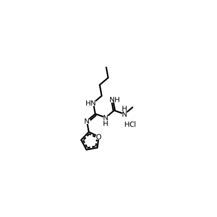 CCCCNC(=Nc1ccco1)NC(=N)NC.Cl